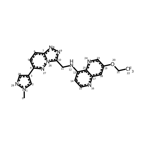 Cn1cc(-c2ccc3nnc(CNc4ccnc5cc(OCC(F)(F)F)cnc45)n3n2)cn1